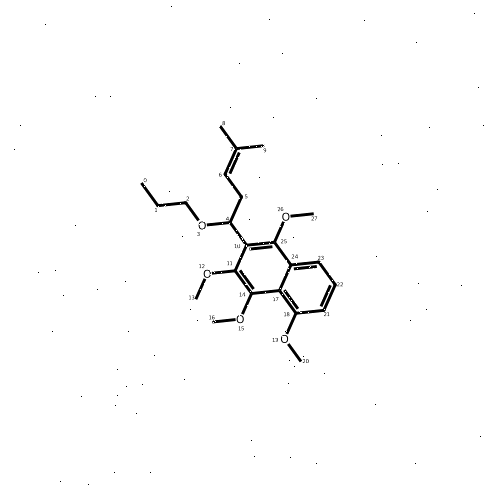 CCCOC(CC=C(C)C)c1c(OC)c(OC)c2c(OC)cccc2c1OC